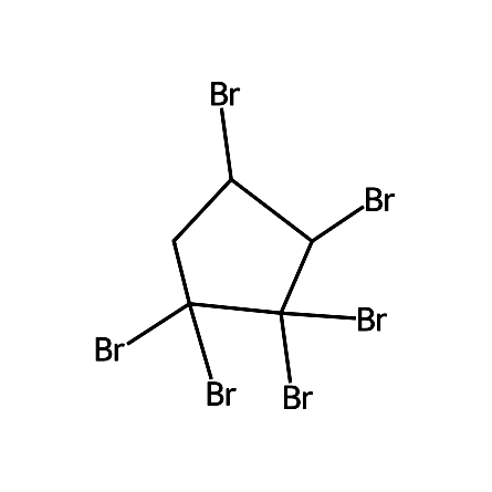 BrC1CC(Br)(Br)C(Br)(Br)C1Br